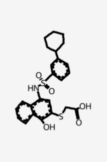 O=C(O)CSc1cc(NS(=O)(=O)c2cccc(C3CCCCC3)c2)c2ccccc2c1O